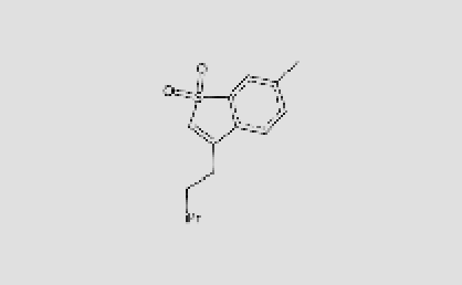 Cc1ccc2c(c1)S(=O)(=O)C=C2CCC(C)C